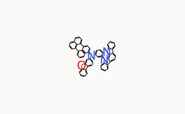 c1ccc(-c2cccc3cccc(-c4ccc(N(c5ccc6c(c5)oc5ccccc56)c5ccc6c(c5)n5c7ccccc7c7ccc8c9ccccc9n6c8c75)cc4)c23)cc1